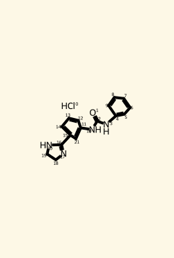 Cl.O=C(Nc1ccccc1)Nc1cccc(C2=NCCN2)c1